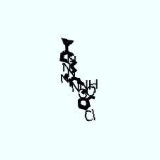 CC(OC(=O)Nc1cc2c(cn1)ncn2Cc1cn2cc(C3CC3)ccc2n1)c1cccc(Cl)c1